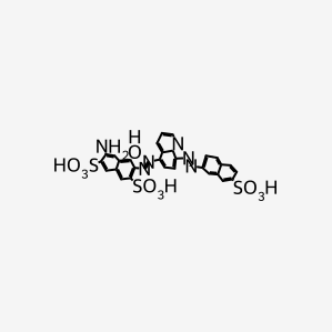 Nc1cc2c(O)c(/N=N/c3ccc(/N=N/c4ccc5ccc(S(=O)(=O)O)cc5c4)c4ncccc34)c(S(=O)(=O)O)cc2cc1S(=O)(=O)O